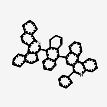 C1=Cc2c(c(-c3nc4c5ccccc5ccc4c4c3ccc3ccccc34)c3ccccc3c2-c2cc3c(-c4ccccc4)nc4ccccc4c3c3ccccc23)CC1